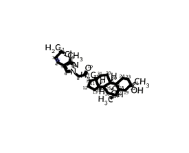 C=C(Cl)/C=C\c1cn(CC(=O)[C@H]2CC[C@H]3[C@@H]4CC[C@H]5C[C@](C)(O)CC[C@]5(COC)[C@H]4CC[C@]23C)nc1C